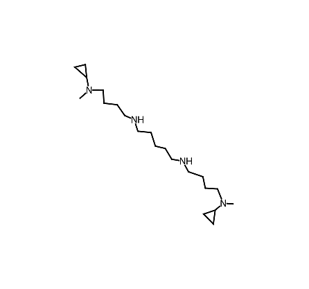 CN(CCCCNCCCCCNCCCCN(C)C1CC1)C1CC1